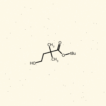 CC(C)(C)OC(=O)C(C)(C)CCO